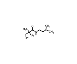 CC(C)CC(C)(C(=O)NCCN(C)C)C(C)C